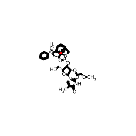 COCCO[C@H]1C(O[P@]2O[C@H](C[Si](C)(c3ccccc3)c3ccccc3)[C@@H]3CCCN32)[C@@H](CO)O[C@H]1n1cc(C)c(=O)[nH]c1=O